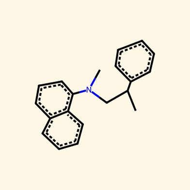 CC(CN(C)c1cccc2ccccc12)c1ccccc1